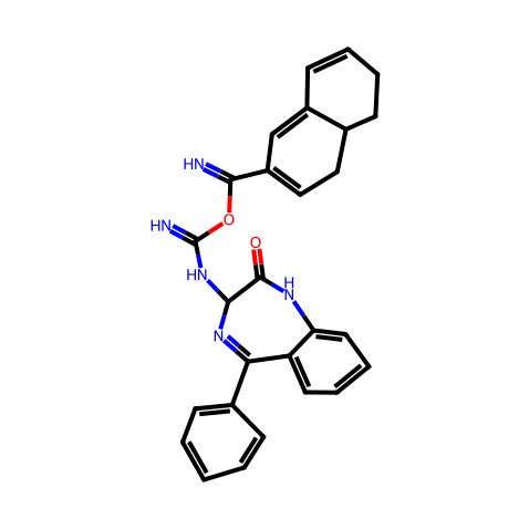 N=C(NC1N=C(c2ccccc2)c2ccccc2NC1=O)OC(=N)C1=CCC2CCC=CC2=C1